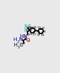 CCC(N)C(=O)NCCC1(C(F)(F)F)C=CC(c2ccccc2)=CC1